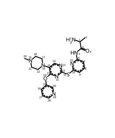 CC(N)C(=O)Nc1cccc(Sc2ncc(N3CCN(C)CC3)c(Oc3cccnc3)n2)n1